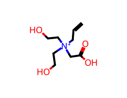 C=CC[N+](CCO)(CCO)CC(=O)O